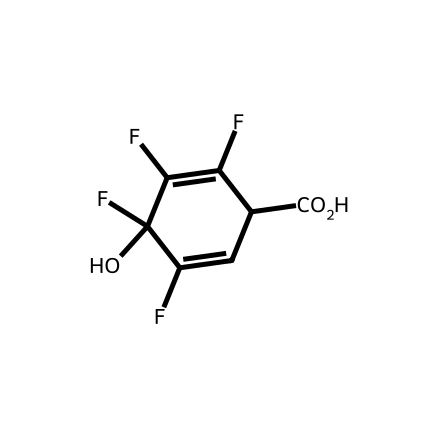 O=C(O)C1C=C(F)C(O)(F)C(F)=C1F